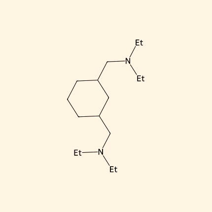 CCN(CC)CC1CCCC(CN(CC)CC)C1